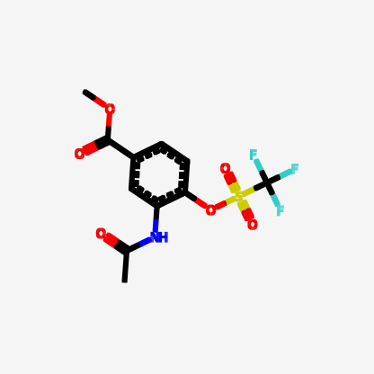 COC(=O)c1ccc(OS(=O)(=O)C(F)(F)F)c(NC(C)=O)c1